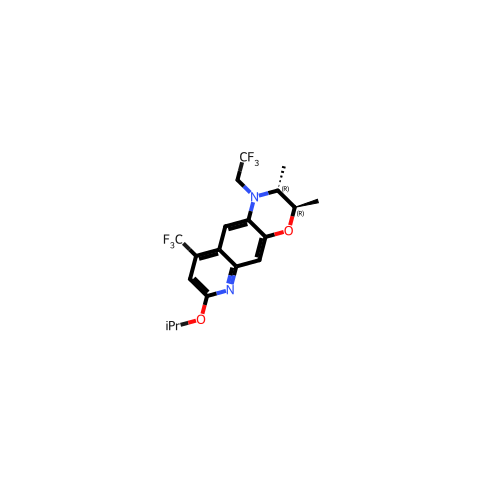 CC(C)Oc1cc(C(F)(F)F)c2cc3c(cc2n1)O[C@H](C)[C@@H](C)N3CC(F)(F)F